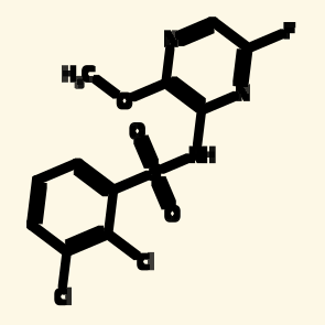 COc1ncc(F)nc1NS(=O)(=O)c1cccc(Cl)c1Cl